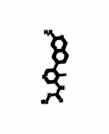 Cc1c(NC(=O)OC(C)(C)C)cncc1-c1ccc2cnc(N)cc2c1